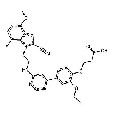 CCOc1cc(-c2cc(NCCn3c(C#N)cc4c(OC)ccc(F)c43)ncn2)ccc1OCCC(=O)O